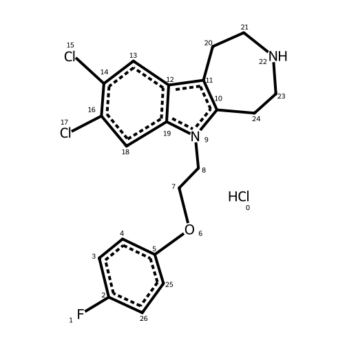 Cl.Fc1ccc(OCCn2c3c(c4cc(Cl)c(Cl)cc42)CCNCC3)cc1